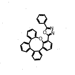 c1ccc(-c2nnc(-c3cccc4c3oc3ccccc3c3ccccc3c3ccccc43)o2)cc1